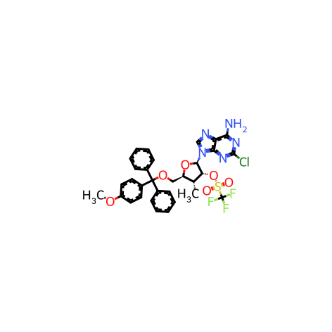 COc1ccc(C(OC[C@H]2O[C@@H](n3cnc4c(N)nc(Cl)nc43)[C@H](OS(=O)(=O)C(F)(F)F)[C@@H]2C)(c2ccccc2)c2ccccc2)cc1